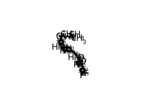 CN(C)CCCN(C)C(=O)c1ccc(Nc2ncc3cc(C#CCNC(=O)c4cncn(Cc5ccc(F)c(F)c5)c4=O)ccc3n2)cc1